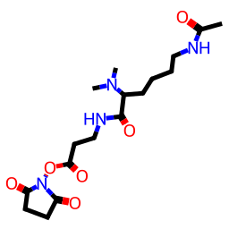 CC(=O)NCCCCC(C(=O)NCCC(=O)ON1C(=O)CCC1=O)N(C)C